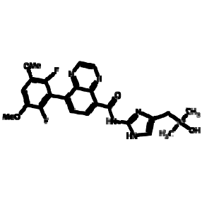 COc1cc(OC)c(F)c(-c2ccc(C(=O)Nc3nc(C[N+](C)(C)O)c[nH]3)c3nccnc23)c1F